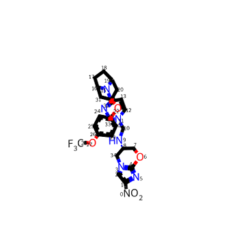 O=[N+]([O-])c1cn2c(n1)OC[C@@H](NCN1C=CC(N3C4CCC3CC(Oc3ccc(OC(F)(F)F)cc3)C4)=NC1)C2